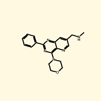 CNCc1cnc2c(N3CCOCC3)nc(-c3ccccc3)nc2c1